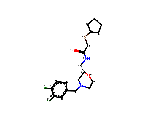 O=C(CSC1CCCC1)NC[C@H]1CN(Cc2ccc(Cl)c(Cl)c2)CCO1